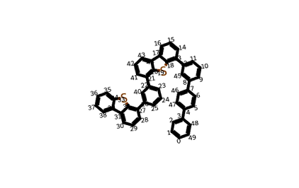 c1ccc(-c2ccc(-c3cccc(-c4cccc5c4sc4c(-c6cccc(-c7cccc8c7sc7ccccc78)c6)cccc45)c3)cc2)cc1